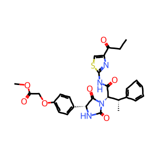 CCC(=O)c1csc(NC(=O)[C@H]([C@@H](C)c2ccccc2)N2C(=O)N[C@H](c3ccc(OCC(=O)OC)cc3)C2=O)n1